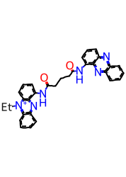 CC[n+]1c2ccccc2nc2c(NC(=O)CCCC(=O)Nc3cccc4nc5ccccc5nc34)cccc21